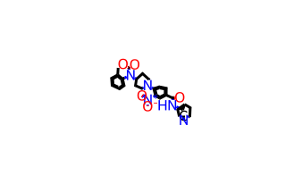 O=C(NC1CN2CCC1CC2)c1ccc(N2CCC(N3C(=O)OCc4ccccc43)CC2)c([N+](=O)[O-])c1